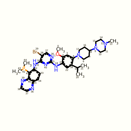 COc1cc(N2CCC(N3CCN(C)CC3)CC2)c(C(C)C)cc1Nc1ncc(Br)c(Nc2ccc3nccnc3c2P(C)C)n1